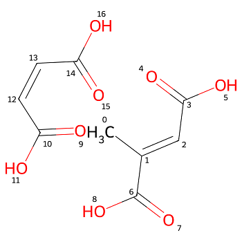 C/C(=C\C(=O)O)C(=O)O.O=C(O)/C=C\C(=O)O